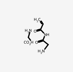 C=CC(=O)NC(=O)CN.NCC(=O)O